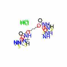 CNC(C)C(=S)N[C@H]1CCS[C@H]2CC(C)(C)[C@@H](C(=O)NC(COCCCCCCOCC(NC(=O)[C@H]3N4C(=O)[C@@H](NC(=S)C(C)NC)CCS[C@H]4CC3(C)C)c3ccccc3)c3ccccc3)N2C1=O.Cl.Cl